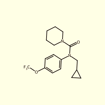 O=C(N1CCCCC1)N(CC1CC1)c1ccc(OC(F)(F)F)cc1